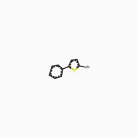 CCCc1ccc(-c2cc[c]cc2)s1